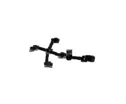 CCC[N+](CCC)(CCC)CCC.O=CO